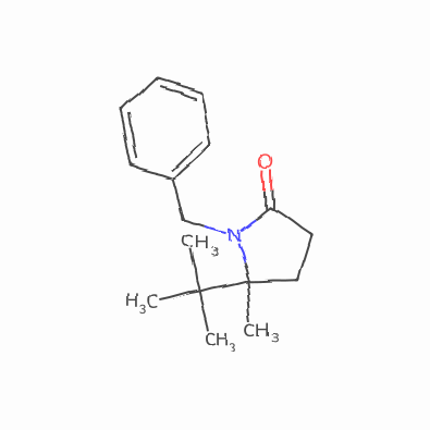 CC(C)(C)C1(C)CCC(=O)N1Cc1ccccc1